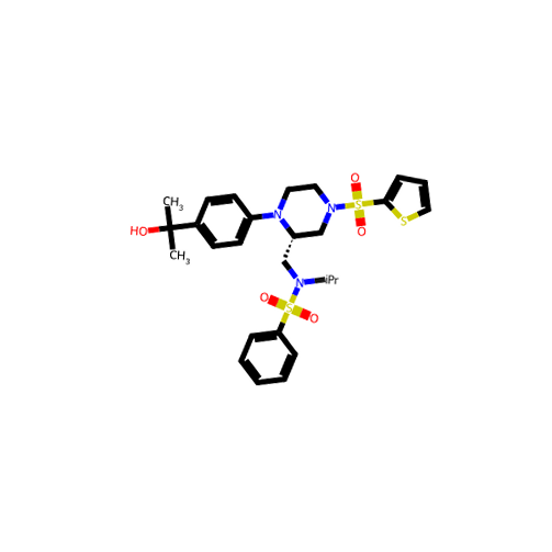 CC(C)N(C[C@H]1CN(S(=O)(=O)c2cccs2)CCN1c1ccc(C(C)(C)O)cc1)S(=O)(=O)c1ccccc1